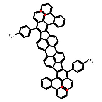 FC(F)(F)c1ccc(-c2c3c(c(-c4ccccc4-c4ccccc4)c4ccccc24)-c2ccc4c5ccc6c7c(ccc(c8ccc-3c2c84)c75)-c2c-6c(-c3ccc(C(F)(F)F)cc3)c3ccccc3c2-c2ccccc2-c2ccccc2)cc1